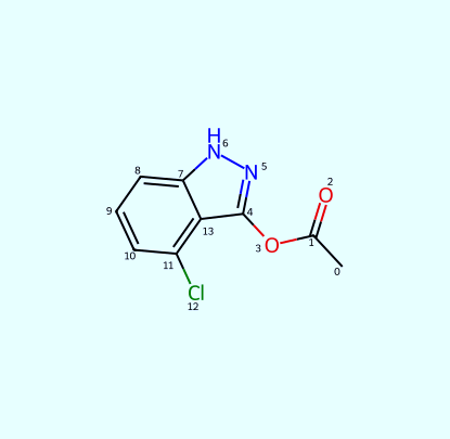 CC(=O)Oc1n[nH]c2cccc(Cl)c12